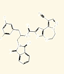 N#Cc1cnn2c1-c1cc(C(=O)NC(Cc3cc(F)cc(F)c3)CN3C(=O)c4ccccc4C3=O)sc1OCC2